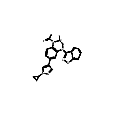 CC(=O)N1c2ccc(-c3cnn(C4CC4)c3)cc2N(c2noc3ccccc23)C[C@@H]1C